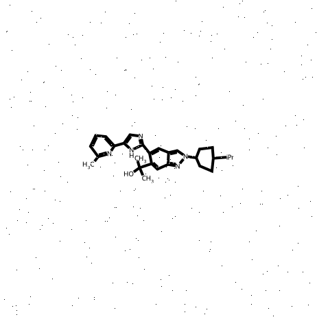 Cc1cccc(-c2cnc(-c3cc4cn(C5CCC(C(C)C)CC5)nc4cc3C(C)(C)O)[nH]2)n1